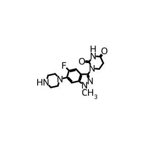 Cn1nc(N2CCC(=O)NC2=O)c2cc(F)c(N3CCNCC3)cc21